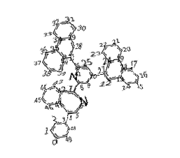 c1ccc(-c2cnc(-c3cc(-c4cc5ccccc5c5ccccc45)cc(-c4cc5ccccc5c5ccccc45)n3)c3ccccc23)cc1